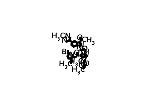 C=Cc1ccc(Br)nc1CC(=O)[C@@H]1C[C@@]2(CN(C)S(=O)(=O)CC)C[C@H]2N1C(=O)Cn1nc(C(C)=O)c2cc(-c3cnc(C)nc3)ccc21